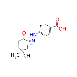 CC1(C)CCC(=O)/C(=N\NC2=CC=C(C(=O)O)CC2)C1